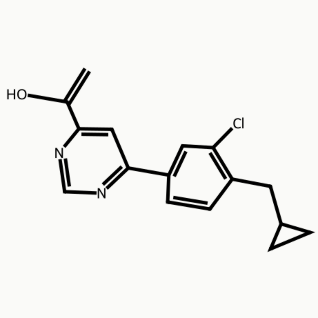 C=C(O)c1cc(-c2ccc(CC3CC3)c(Cl)c2)ncn1